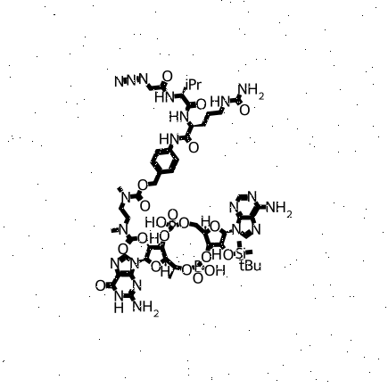 CC(C)[C@H](NC(=O)CN=[N+]=[N-])C(=O)N[C@@H](CCCNC(N)=O)C(=O)Nc1ccc(COC(=O)N(C)CCN(C)C(=O)O[C@@H]2[C@@H]3OP(=O)(O)OC[C@H]4O[C@@H](n5cnc6c(N)ncnc65)C(O[Si](C)(C)C(C)(C)C)[C@@H]4OP(=O)(O)O[C@@H](C)[C@H]3O[C@H]2n2cnc3c(=O)[nH]c(N)nc32)cc1